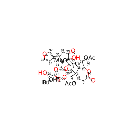 C=C1[C@H]([C@@]2(C)[C@@H](OC(C)=O)CC(=O)O[C@](C)(COC(C)=O)[C@@H]2CC(=O)OC)[C@H](OC=O)[C@H](OC(=O)[C@@H](O)[C@@H](C)CC)[C@@]2(C)[C@@H](c3ccoc3)CC(=O)[C@]12O